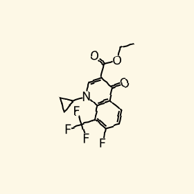 CCOC(=O)c1cn(C2CC2)c2c(C(F)(F)F)c(F)ccc2c1=O